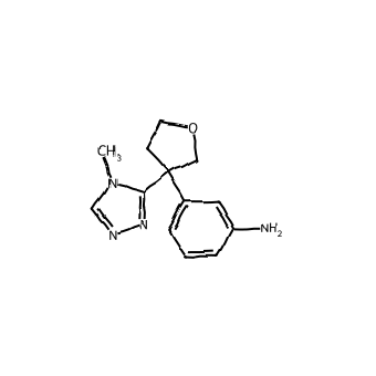 Cn1cnnc1C1(c2cccc(N)c2)CCOC1